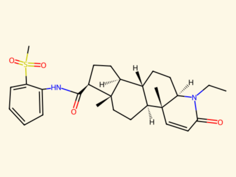 CCN1C(=O)C=C[C@]2(C)[C@H]3CC[C@]4(C)[C@@H](C(=O)Nc5ccccc5S(C)(=O)=O)CC[C@H]4[C@@H]3CC[C@@H]12